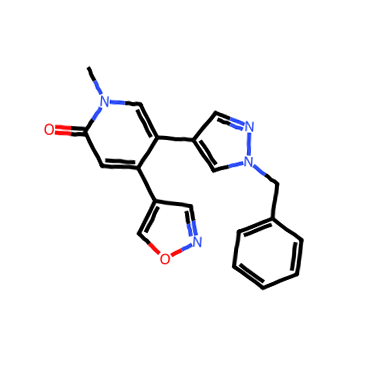 Cn1cc(-c2cnn(Cc3ccccc3)c2)c(-c2cnoc2)cc1=O